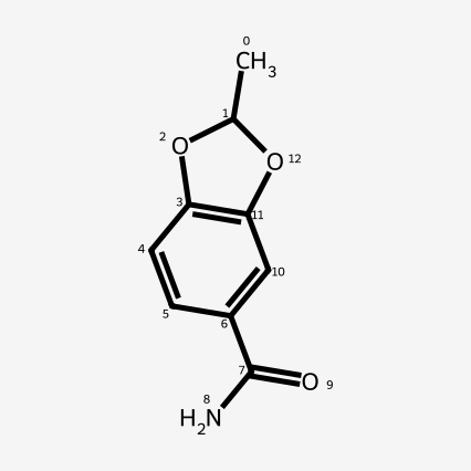 CC1Oc2ccc(C(N)=O)cc2O1